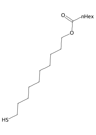 CCCCCCC(=O)OCCCCCCCCCCS